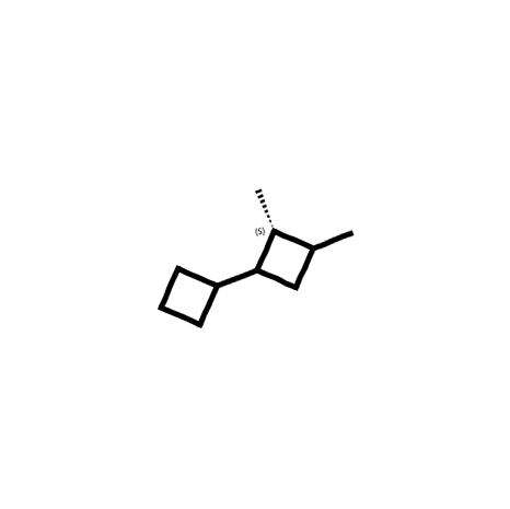 CC1C[C](C2CCC2)[C@@H]1C